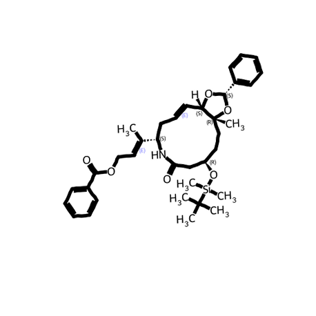 C/C(=C\COC(=O)c1ccccc1)[C@@H]1C/C=C/[C@@H]2O[C@H](c3ccccc3)O[C@]2(C)CC[C@@H](O[Si](C)(C)C(C)(C)C)CC(=O)N1